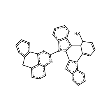 CC1C=CC=C2c3c(sc4ccccc34)-c3c(c4ncccc4n3-c3nc4c5c(cccc5n3)Sc3ccccc3-4)C21